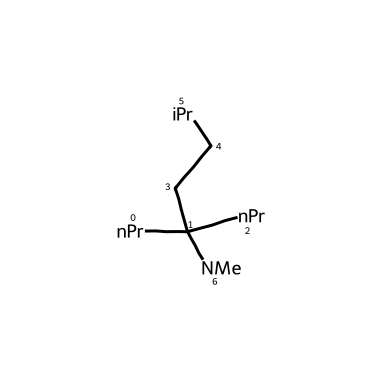 CCCC(CCC)(CCC(C)C)NC